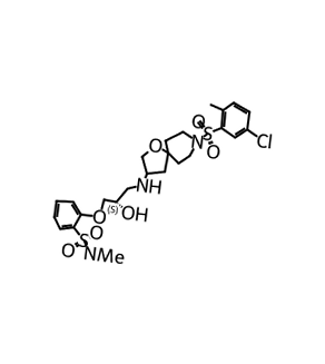 CNS(=O)(=O)c1ccccc1OC[C@@H](O)CNC1COC2(CCN(S(=O)(=O)c3cc(Cl)ccc3C)CC2)C1